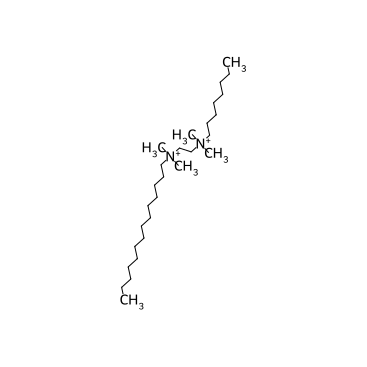 CCCCCCCCCCCCCC[N+](C)(C)CC[N+](C)(C)CCCCCCCC